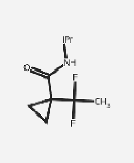 CC(C)NC(=O)C1(C(C)(F)F)CC1